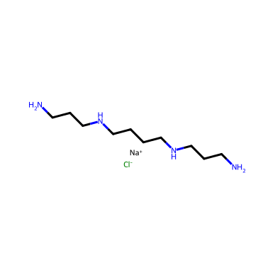 NCCCNCCCCNCCCN.[Cl-].[Na+]